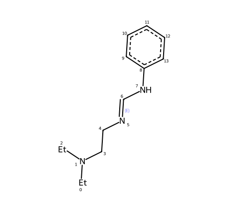 CCN(CC)CC/N=C/Nc1ccccc1